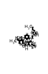 CCCCS(=O)(=O)NCCOc1nc(C(F)(F)F)nc(NS(=O)(=O)c2ccc(C(C)C)cn2)c1Oc1ccccc1OC